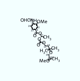 COc1cc(C(=O)OC(C)OC(=O)OCCC(C)(C)OCN(C)OC)ccc1NC=O